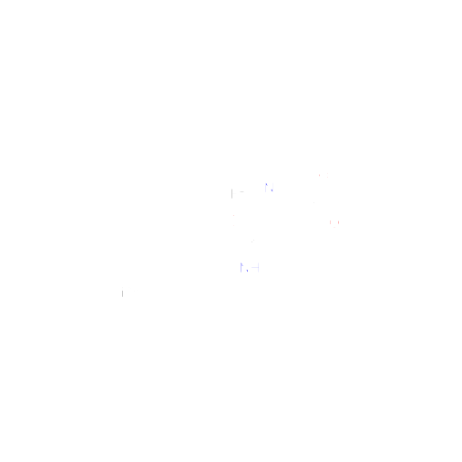 CCN1CCOC(=O)C1CC(=O)Nc1ccc(C(C)C)cc1